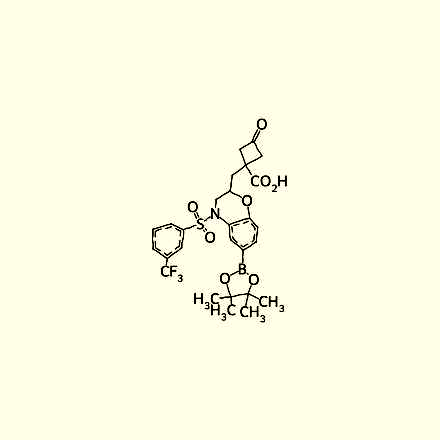 CC1(C)OB(c2ccc3c(c2)N(S(=O)(=O)c2cccc(C(F)(F)F)c2)CC(CC2(C(=O)O)CC(=O)C2)O3)OC1(C)C